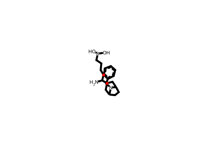 NC(CCCCB(O)O)C1CC2CCC(C1)N2Cc1ccccc1